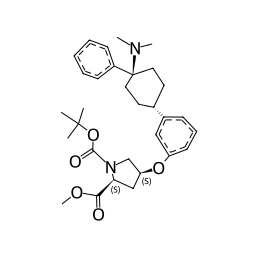 COC(=O)[C@@H]1C[C@H](Oc2cccc([C@H]3CC[C@](c4ccccc4)(N(C)C)CC3)c2)CN1C(=O)OC(C)(C)C